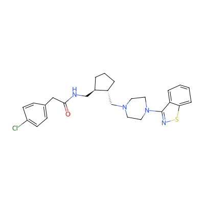 O=C(Cc1ccc(Cl)cc1)NC[C@H]1CCC[C@@H]1CN1CCN(c2nsc3ccccc23)CC1